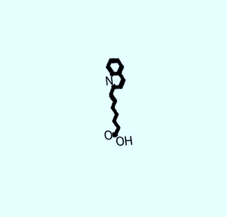 O=C(O)CCCC/C=C/c1ccc2ccccc2n1